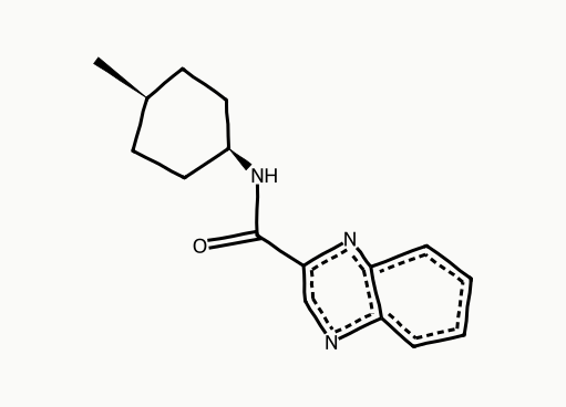 C[C@H]1CC[C@@H](NC(=O)c2cnc3ccccc3n2)CC1